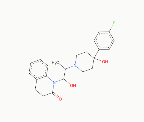 CC(C(O)N1C(=O)CCc2ccccc21)N1CCC(O)(c2ccc(F)cc2)CC1